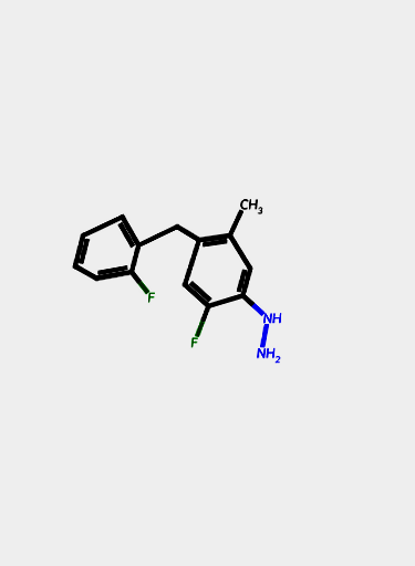 Cc1cc(NN)c(F)cc1Cc1ccccc1F